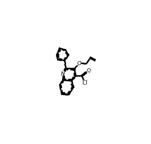 C=CCOc1c(-c2ccccc2)nc2ccccc2c1C(=O)Cl